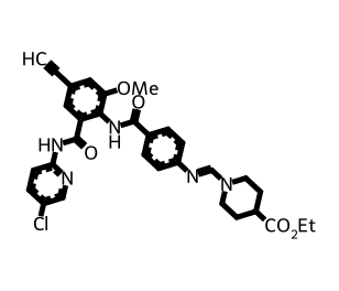 C#Cc1cc(OC)c(NC(=O)c2ccc(N=CN3CCC(C(=O)OCC)CC3)cc2)c(C(=O)Nc2ccc(Cl)cn2)c1